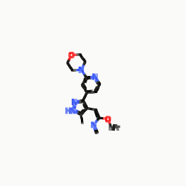 C=N/C(=C\c1c(-c2ccnc(N3CCOCC3)c2)n[nH]c1C)OCCC